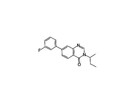 CCC(C)n1cnc2cc(-c3cccc(F)c3)ccc2c1=O